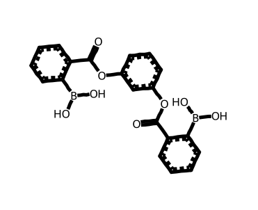 O=C(Oc1cccc(OC(=O)c2ccccc2B(O)O)c1)c1ccccc1B(O)O